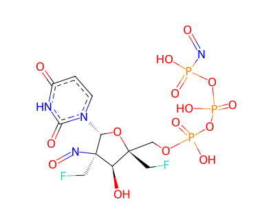 O=N[C@]1(CF)[C@H](O)[C@@](CF)(COP(=O)(O)OP(=O)(O)OP(=O)(O)N=O)O[C@H]1n1ccc(=O)[nH]c1=O